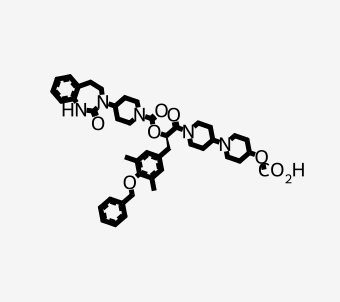 Cc1cc(C[C@@H](OC(=O)N2CCC(N3CCc4ccccc4NC3=O)CC2)C(=O)N2CCC(N3CCC(OC(=O)O)CC3)CC2)cc(C)c1OCc1ccccc1